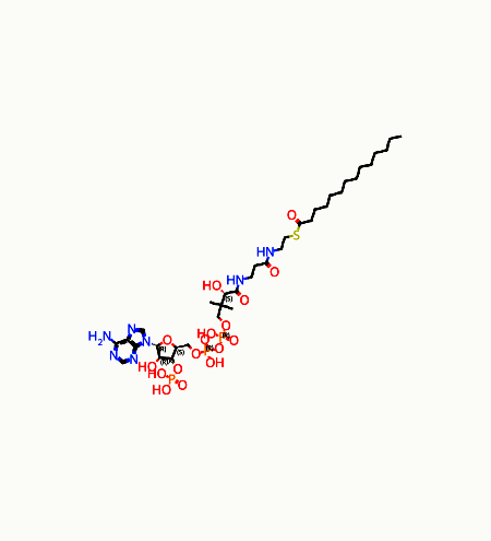 CCCCCCCCCCCCCC(=O)SCCNC(=O)CCNC(=O)[C@@H](O)C(C)(C)CO[P@@](=O)(O)O[P@](=O)(O)OC[C@@H]1O[C@@H](n2cnc3c(N)ncnc32)[C@H](O)[C@H]1OP(=O)(O)O